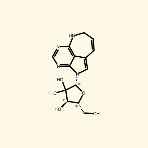 CC1(O)[C@H](O)[C@@H](CO)O[C@H]1n1cc2c3c(ncnc31)NCC=C2